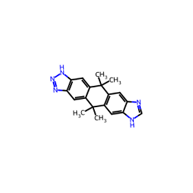 CC1(C)c2cc3nn[nH]c3cc2C(C)(C)c2cc3nc[nH]c3cc21